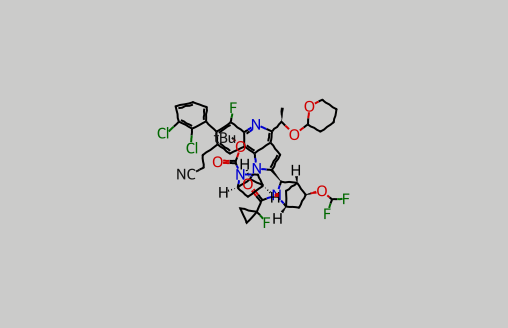 C[C@@H](OC1CCCCO1)c1nc2c(F)c(-c3cccc(Cl)c3Cl)c(CCC#N)cc2c2c1cc([C@H]1[C@H]3C[C@H](C[C@@H]3OC(F)F)N1C(=O)C1(F)CC1)n2[C@H]1[C@@H]2C[C@H]1N(C(=O)OC(C)(C)C)C2